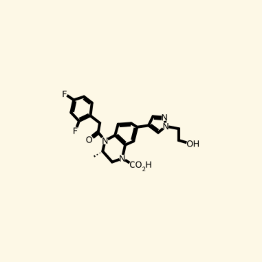 C[C@H]1CN(C(=O)O)c2cc(-c3cnn(CCO)c3)ccc2N1C(=O)Cc1ccc(F)cc1F